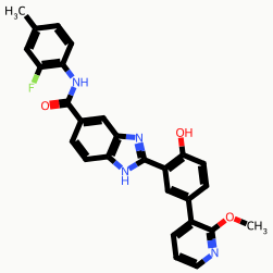 COc1ncccc1-c1ccc(O)c(-c2nc3cc(C(=O)Nc4ccc(C)cc4F)ccc3[nH]2)c1